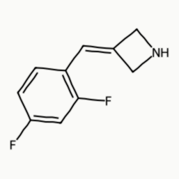 Fc1ccc(C=C2CNC2)c(F)c1